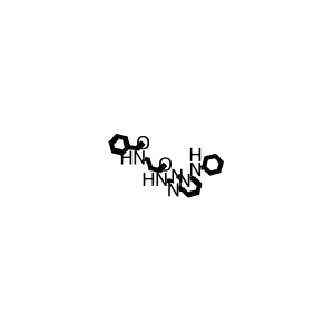 O=C(CCNC(=O)c1ccccc1)Nc1nc2cccc(NC3CCCCC3)n2n1